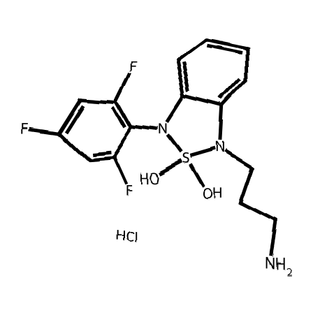 Cl.NCCCN1c2ccccc2N(c2c(F)cc(F)cc2F)S1(O)O